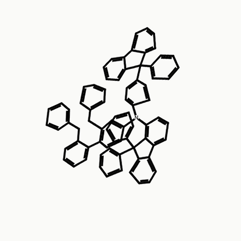 c1ccc(Cc2ccccc2-c2ccc(N(c3ccc(C4(c5ccccc5)c5ccccc5-c5ccccc54)cc3)c3cccc4c3C(c3ccccc3)(c3ccccc3)c3ccccc3-4)cc2Cc2ccccc2)cc1